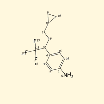 Nc1ccc(C(CCC2CC2)C(F)(F)F)cc1